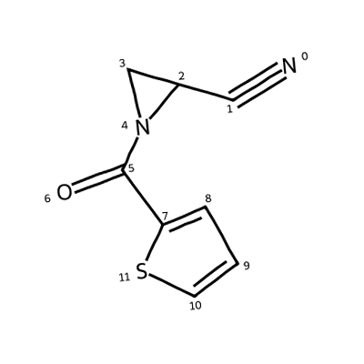 N#CC1CN1C(=O)c1cccs1